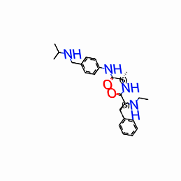 CCN[C@@H](Cc1ccccc1)C(=O)N[C@@H](C)C(=O)Nc1ccc(CNC(C)C)cc1